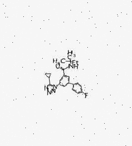 CCC(C)(C)NC(=O)c1cc(-c2ccc(F)cc2)cc(-n2nnnc2C2CC2)c1